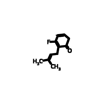 CC(C)=CCC1=C(F)[C]=CCC1=O